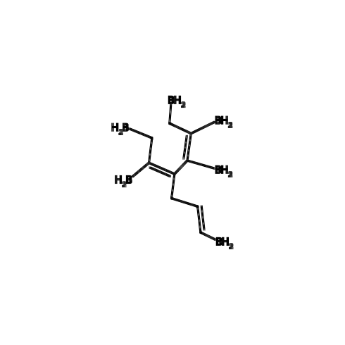 B/C=C/CC(=C(\B)CB)/C(B)=C(/B)CB